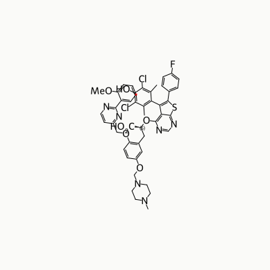 COc1ccccc1-c1nccc(COc2ccc(OCN3CCN(C)CC3)cc2C[C@H](Oc2ncnc3sc(-c4ccc(F)cc4)c(-c4c(C)c(Cl)c(O)c(Cl)c4C)c23)C(=O)O)n1